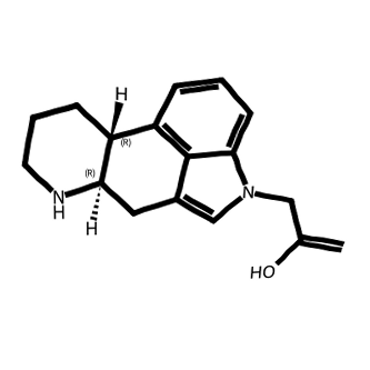 C=C(O)Cn1cc2c3c(cccc31)[C@H]1CCCN[C@@H]1C2